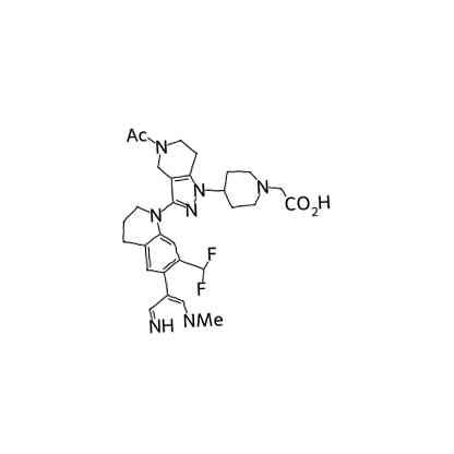 CN/C=C(\C=N)c1cc2c(cc1C(F)F)N(c1nn(C3CCN(CC(=O)O)CC3)c3c1CN(C(C)=O)CC3)CCC2